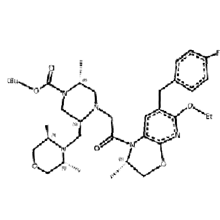 CCOc1nc2c(cc1Cc1ccc(F)cc1)N(C(=O)CN1C[C@@H](C)N(C(=O)OC(C)(C)C)C[C@@H]1CN1[C@H](C)COC[C@H]1C)[C@@H](C)CO2